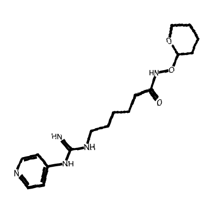 N=C(NCCCCCC(=O)NOC1CCCCO1)Nc1ccncc1